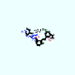 N=C(NC(=O)c1cccc(F)c1CCc1cc(Br)cc2ccoc12)NC(C(=O)O)C1CCNCC1